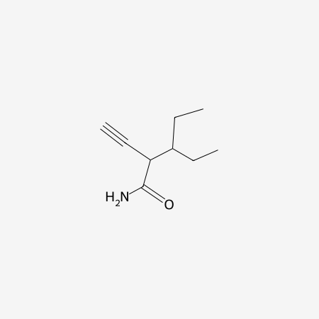 C#CC(C(N)=O)C(CC)CC